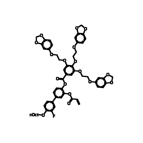 C=CC(=O)Oc1cc(-c2ccc(OCCCCCCCC)c(F)c2)ccc1OC(=O)c1cc(OCCOc2ccc3c(c2)OCO3)c(OCCOc2ccc3c(c2)OCO3)c(OCCOc2ccc3c(c2)OCO3)c1